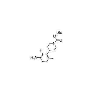 Cc1ccc(N)c(F)c1C1CCN(C(=O)OC(C)(C)C)CC1